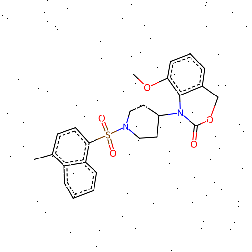 COc1cccc2c1N(C1CCN(S(=O)(=O)c3ccc(C)c4ccccc34)CC1)C(=O)OC2